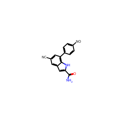 N#Cc1cc(-c2ccc(N=O)cc2)c2[nH]c(C(N)=O)cc2c1